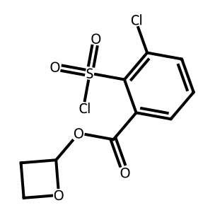 O=C(OC1CCO1)c1cccc(Cl)c1S(=O)(=O)Cl